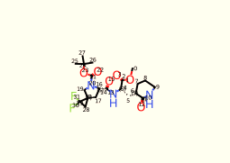 COC(=O)[C@H](C[C@@H]1CCCNC1=O)NC(=O)[C@@H]1C[C@@]2(CN1C(=O)OC(C)(C)C)CC2(F)F